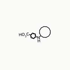 O=C(O)c1ccc(NC2CCCCCCCCCCC2)cc1